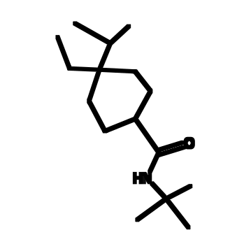 CCC1(C(C)C)CCC(C(=O)NC(C)(C)C)CC1